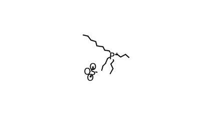 CCCCCCCC[P+](CCCC)(CCCC)CCCC.CS(=O)(=O)[O-]